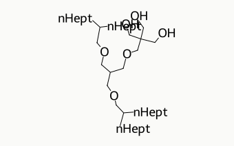 CCCCCCCC(CCCCCCC)COCC(COCC(CCCCCCC)CCCCCCC)COCC(CO)(CO)CO